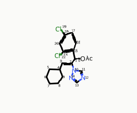 CC(=O)OC(C(=CC1CCCCC1)n1cncn1)c1ccc(Cl)cc1Cl